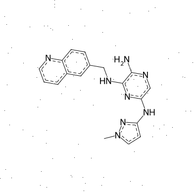 Cn1ccc(Nc2cnc(N)c(NCc3ccc4ncccc4c3)n2)n1